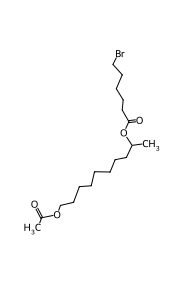 CC(=O)OCCCCCCCCC(C)OC(=O)CCCCCBr